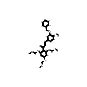 COCOc1cc(OCOC)c(C(=O)C=Cc2ccc(OC)c(OCc3ccccc3)c2)c(OCOC)c1